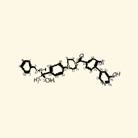 CC(O)(NSCc1ccccc1)c1ccc(N2CCN(C(=O)c3ccc(-c4cncc(O)c4)c(F)c3)CC2)cc1